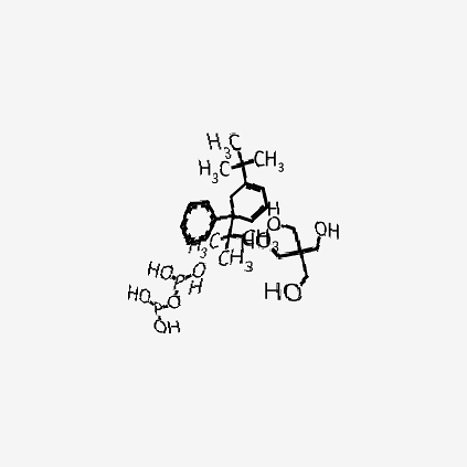 CC(C)(C)C1=CC=CC(c2ccccc2)(C(C)(C)C)C1.OCC(CO)(CO)CO.OP(O)OP(O)O